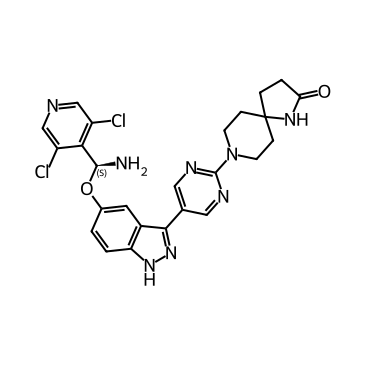 N[C@@H](Oc1ccc2[nH]nc(-c3cnc(N4CCC5(CCC(=O)N5)CC4)nc3)c2c1)c1c(Cl)cncc1Cl